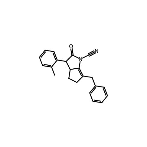 Cc1ccccc1C1C(=O)N(C#N)C2=C(Cc3ccccc3)CCC21